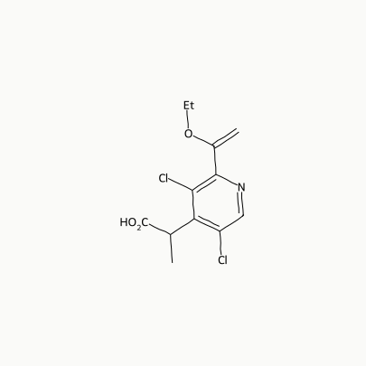 C=C(OCC)c1ncc(Cl)c(C(C)C(=O)O)c1Cl